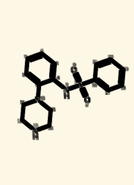 O=S(=O)(Nc1ccccc1N1CCNCC1)c1ccccc1